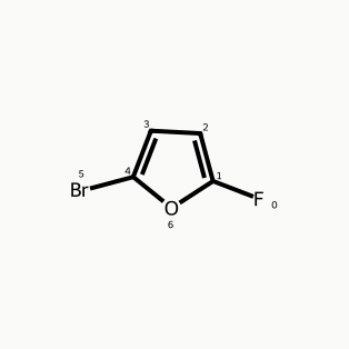 Fc1ccc(Br)o1